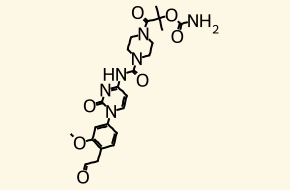 COc1cc(-n2ccc(NC(=O)N3CCN(C(=O)C(C)(C)OC(N)=O)CC3)nc2=O)ccc1CC=O